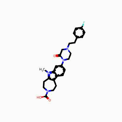 Cn1c2c(c3ccc(N4CCN(CCc5ccc(F)cc5)CC4=O)cc31)CCN(C(=O)O)CC2